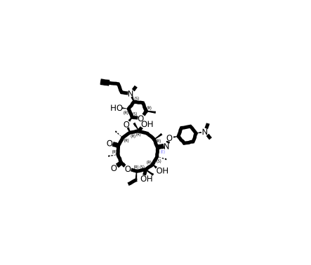 C#CCCN(C)[C@H]1C[C@@H](C)O[C@@H](O[C@@H]2[C@@H](C)C(=O)[C@@H](C)C(=O)O[C@H](CC)[C@@](C)(O)[C@H](O)[C@@H](C)/C(=N/O[C@H]3CC[C@@H](N(C)C)CC3)[C@H](C)C[C@@]2(C)O)[C@@H]1O